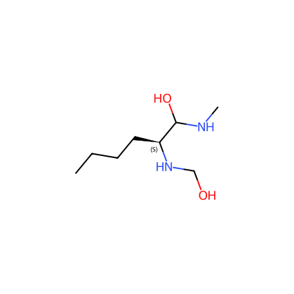 CCCC[C@H](NCO)C(O)NC